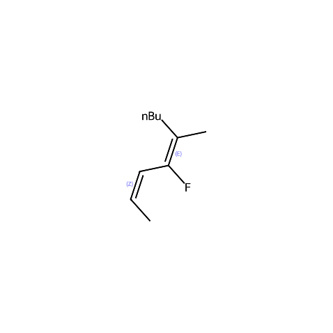 C/C=C\C(F)=C(\C)CCCC